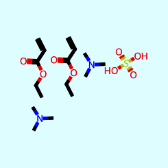 C=CC(=O)OCC.C=CC(=O)OCC.CN(C)C.CN(C)C.O=S(=O)(O)O